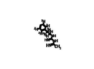 [2H]c1cc([2H])c([2H])c(C([2H])([2H])C([2H])([2H])NC(=N)NC(C)=N)c1[2H]